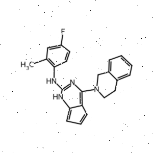 Cc1cc(F)ccc1Nc1nc(N2CCc3ccccc3C2)c2cccc-2[nH]1